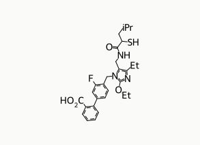 CCOc1nc(CC)c(CNC(=O)C(S)CC(C)C)n1Cc1ccc(-c2ccccc2C(=O)O)cc1F